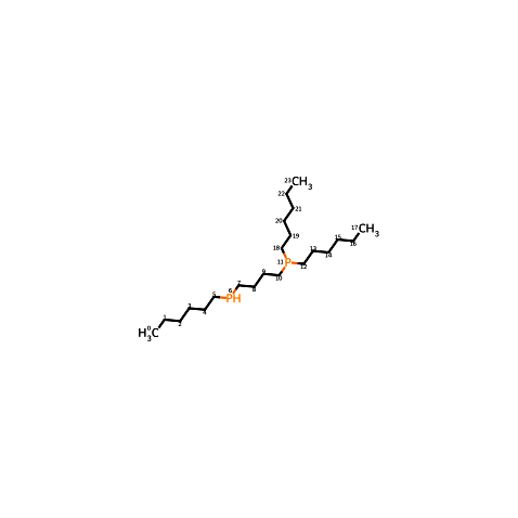 CCCCCCPCCCCP(CCCCCC)CCCCCC